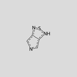 c1ncc2[nH]snc1-2